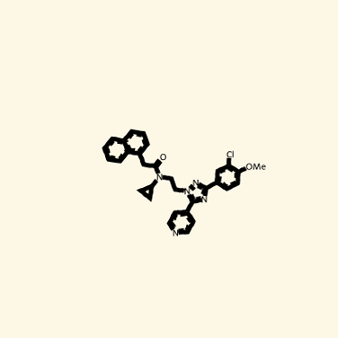 COc1ccc(-c2nc(-c3ccncc3)n(CCN(C(=O)Cc3cccc4ccccc34)C3CC3)n2)cc1Cl